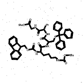 COC(=O)CNC(=O)C(NC(=O)C(CSC(c1ccccc1)(c1ccccc1)c1ccccc1)NC(=O)C(CCCCNC(=O)OC(C)(C)C)NC(=O)OCC1c2ccccc2-c2ccccc21)C(C)C